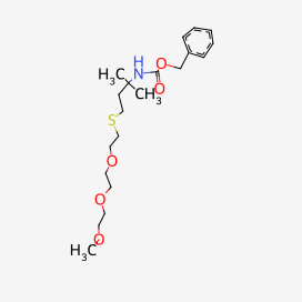 COCCOCCOCCSCCC(C)(C)NC(=O)OCc1ccccc1